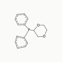 c1ccc(P(c2ccccc2)C2COCCO2)cc1